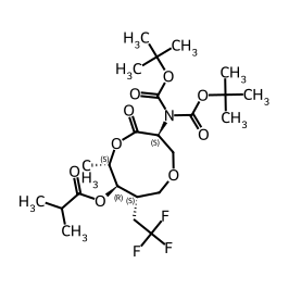 CC(C)C(=O)O[C@@H]1[C@@H](CC(F)(F)F)COC[C@H](N(C(=O)OC(C)(C)C)C(=O)OC(C)(C)C)C(=O)O[C@H]1C